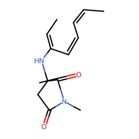 C\C=C/C=C\C(=C/C)NC1CC(=O)N(C)C1=O